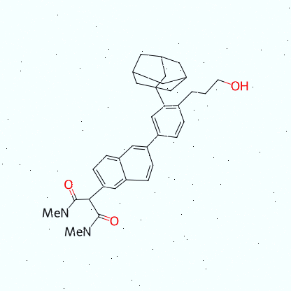 CNC(=O)C(C(=O)NC)c1ccc2cc(-c3ccc(CCCO)c(C45CC6CC(CC(C6)C4)C5)c3)ccc2c1